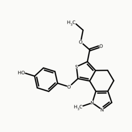 CCOC(=O)c1sc(Oc2ccc(O)cc2)c2c1CCc1cnn(C)c1-2